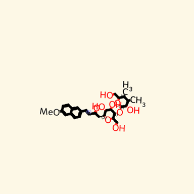 COc1ccc2cc(/C=C/C(=O)C[C@@H]3OC(CO)[C@@H](O[C@@H]4OC(CO)[C@@H](C)C(C)C4O)C(O)C3O)ccc2c1